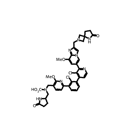 COc1nc(-c2cccc(-c3ccnc(-c4cc(OC)c5nc(CN6CC7(CCC(=O)N7)C6)cn5c4)c3Cl)c2Cl)ccc1CN(CC1CCC(=O)N1)C(=O)O